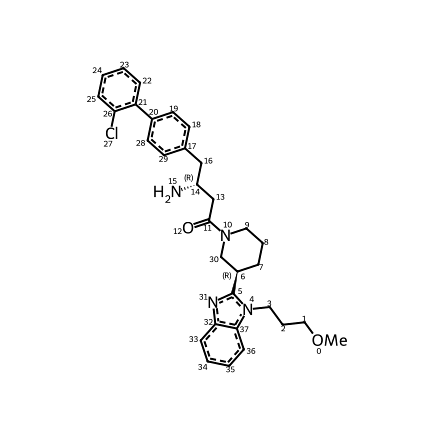 COCCCn1c([C@@H]2CCCN(C(=O)C[C@H](N)Cc3ccc(-c4ccccc4Cl)cc3)C2)nc2ccccc21